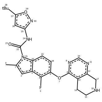 Cc1cc2c(F)c(Oc3ncnc4c3CCNC4)ccc2n1C(=O)Nc1cc(C(C)(C)C)on1